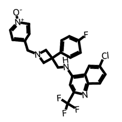 [O-][n+]1ccc(CN2CC(CNc3cc(C(F)(F)F)nc4ccc(Cl)cc34)(c3ccc(F)cc3)C2)cc1